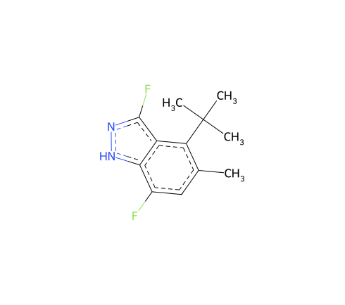 Cc1cc(F)c2[nH]nc(F)c2c1C(C)(C)C